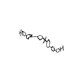 CC(C)(C1CCC(c2ccc(O)cc2)CC1)C1CCC(c2ccc(O)cc2)CC1